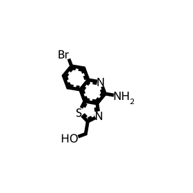 Nc1nc2cc(Br)ccc2c2sc(CO)nc12